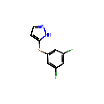 Fc1cc(F)cc(Sc2ccn[nH]2)c1